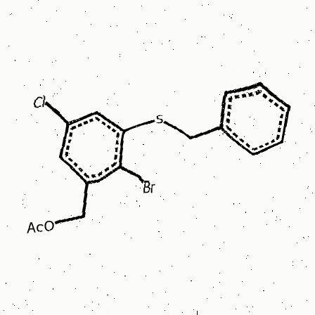 CC(=O)OCc1cc(Cl)cc(SCc2ccccc2)c1Br